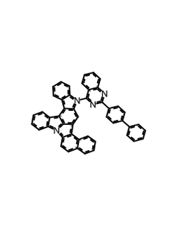 c1ccc(-c2ccc(-c3nc(-n4c5ccccc5c5c6c7ccccc7n7c8ccc9ccccc9c8c(cc54)c67)c4ccccc4n3)cc2)cc1